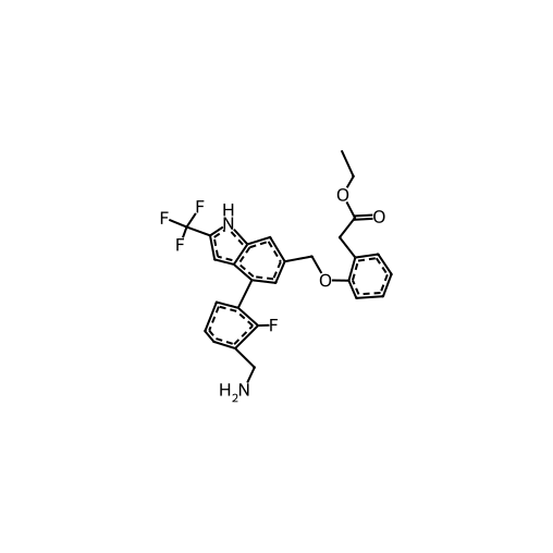 CCOC(=O)Cc1ccccc1OCc1cc(-c2cccc(CN)c2F)c2cc(C(F)(F)F)[nH]c2c1